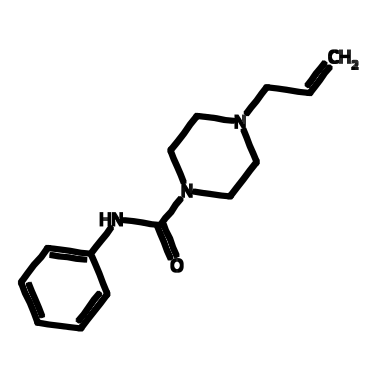 C=CCN1CCN(C(=O)Nc2ccccc2)CC1